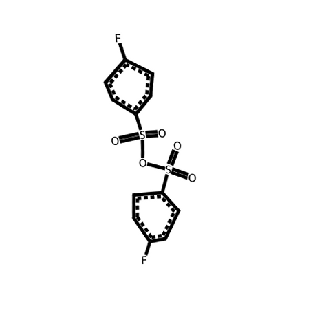 O=S(=O)(OS(=O)(=O)c1ccc(F)cc1)c1ccc(F)cc1